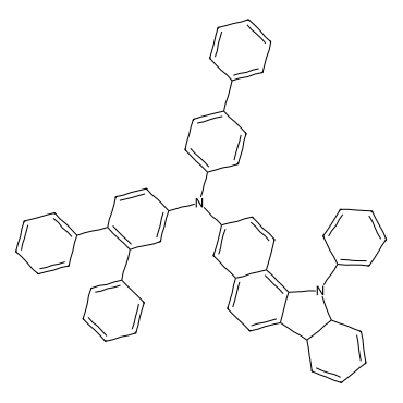 C1=CC2c3ccc4cc(N(c5ccc(-c6ccccc6)cc5)c5ccc(-c6ccccc6)c(-c6ccccc6)c5)ccc4c3N(c3ccccc3)C2C=C1